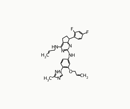 C=CCNc1nc(Nc2ccc(-n3cnc(C)n3)c(OCC=C)c2)nc2c1CCC2c1ccc(F)cc1F